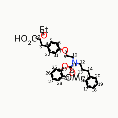 CCOC(Cc1ccc(OCCN(CCCc2ccccc2)C(=O)Oc2ccccc2OC)cc1)C(=O)O